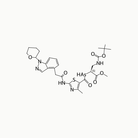 COC(=O)[C@H](CNC(=O)OC(C)(C)C)[AsH]C(=O)c1sc(NC(=O)Cc2cccc3c2cnn3C2CCCCO2)nc1C